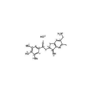 Cc1nc2c(cc1CN)CN(CC(=O)c1cc(C(C)(C)C)c(O)c(C(C)(C)C)c1)C2=N.Cl